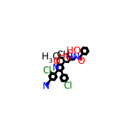 CC1(C)CC(CC(O)CNC(=O)c2ccccc2O)c2cc(-c3ccc(Cl)cc3)c(-c3ccc(C#N)cc3Cl)nc2O1